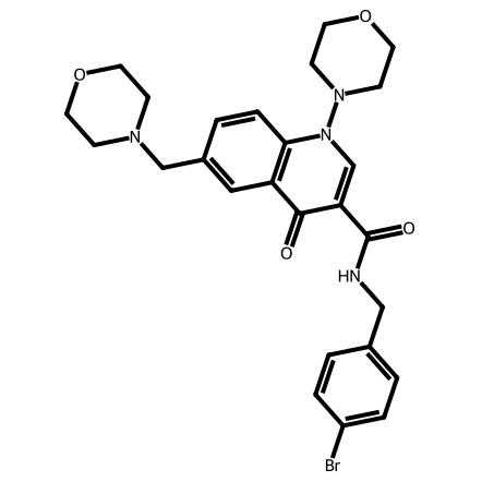 O=C(NCc1ccc(Br)cc1)c1cn(N2CCOCC2)c2ccc(CN3CCOCC3)cc2c1=O